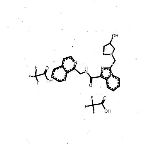 O=C(NCc1nccc2ccccc12)c1nc(CN2CCC(O)C2)n2ccccc12.O=C(O)C(F)(F)F.O=C(O)C(F)(F)F